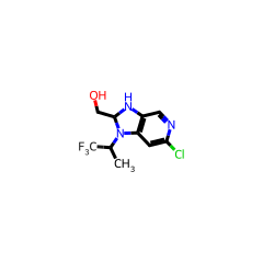 CC(N1c2cc(Cl)ncc2NC1CO)C(F)(F)F